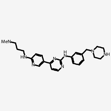 CNCCCNc1ccc(-c2ccnc(Nc3cccc(CN4CCNCC4)c3)n2)cn1